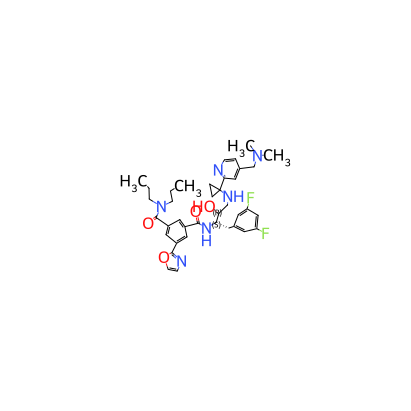 CCCN(CCC)C(=O)c1cc(C(=O)N[C@@H](Cc2cc(F)cc(F)c2)[C@H](O)CNC2(c3cc(CN(C)C)ccn3)CC2)cc(-c2ncco2)c1